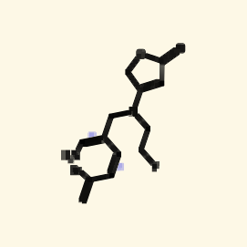 C=C(Br)/C=C\C(=C/N)CN(CCF)C1=CC(=O)OC1